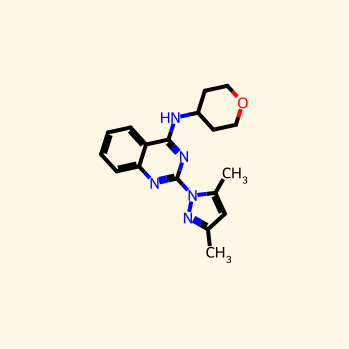 Cc1cc(C)n(-c2nc(NC3CCOCC3)c3ccccc3n2)n1